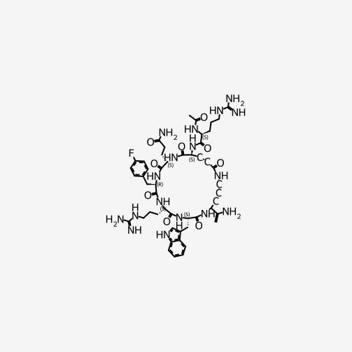 C=C(N)C1CCCNC(=O)CC[C@H](NC(=O)[C@H](CCCNC(=N)N)NC(C)=O)C(=O)N[C@@H](CCC(N)=O)C(=O)N[C@H](Cc2ccc(F)cc2)C(=O)N[C@@H](CCCNC(=N)N)C(=O)N[C@@H](Cc2c[nH]c3ccccc23)C(=O)N1